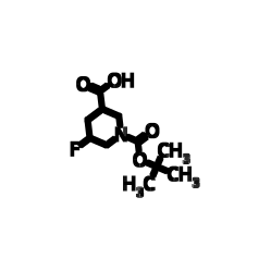 CC(C)(C)OC(=O)N1CC(F)CC(C(=O)O)C1